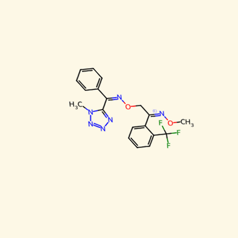 CO/N=C(/CON=C(c1ccccc1)c1nnnn1C)c1ccccc1C(F)(F)F